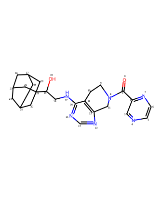 O=C(c1cnccn1)N1CCc2c(ncnc2NCC(O)C23CC4CC(CC(C4)C2)C3)C1